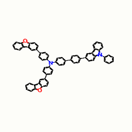 c1ccc(-n2c3ccccc3c3cc(-c4ccc(-c5ccc(N(c6ccc(-c7ccc8oc9ccccc9c8c7)cc6)c6ccc(-c7ccc8oc9ccccc9c8c7)cc6)cc5)cc4)ccc32)cc1